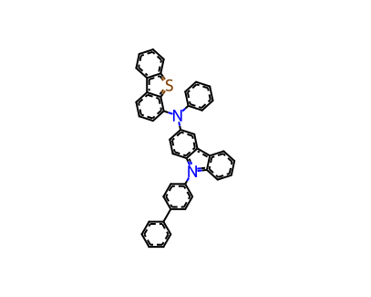 c1ccc(-c2ccc(-n3c4ccccc4c4cc(N(c5ccccc5)c5cccc6c5sc5ccccc56)ccc43)cc2)cc1